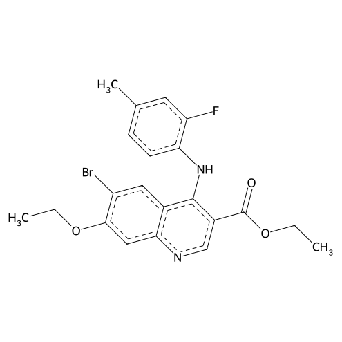 CCOC(=O)c1cnc2cc(OCC)c(Br)cc2c1Nc1ccc(C)cc1F